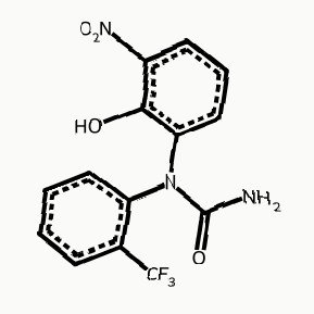 NC(=O)N(c1ccccc1C(F)(F)F)c1cccc([N+](=O)[O-])c1O